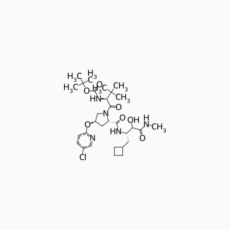 CNC(=O)C(O)[C@H](CC1CCC1)NC(=O)[C@@H]1C[C@@H](Oc2ccc(Cl)cn2)CN1C(=O)[C@@H](NC(=O)OC(C)(C)C)C(C)(C)C